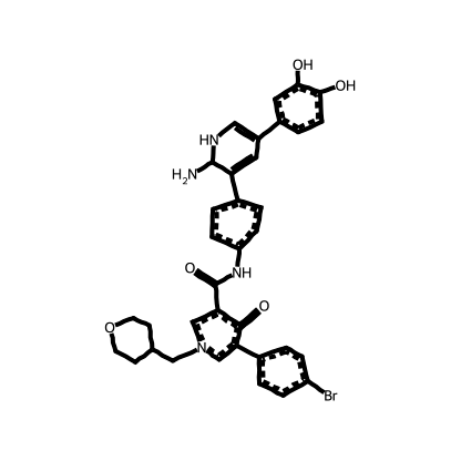 NC1NC=C(c2ccc(O)c(O)c2)C=C1c1ccc(NC(=O)c2cn(CC3CCOCC3)cc(-c3ccc(Br)cc3)c2=O)cc1